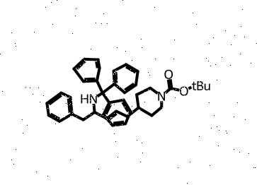 CC(C)(C)OC(=O)N1CCC(C/C=C/C(Cc2ccccc2)NC(c2ccccc2)(c2ccccc2)c2ccccc2)CC1